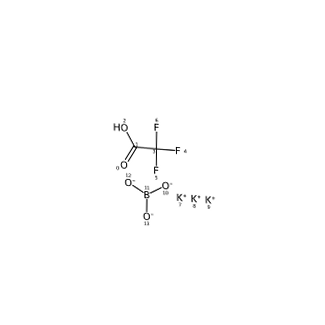 O=C(O)C(F)(F)F.[K+].[K+].[K+].[O-]B([O-])[O-]